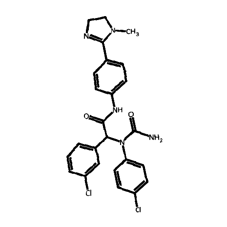 CN1CCN=C1c1ccc(NC(=O)C(c2cccc(Cl)c2)N(C(N)=O)c2ccc(Cl)cc2)cc1